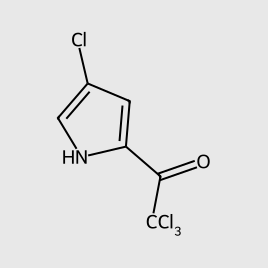 O=C(c1cc(Cl)c[nH]1)C(Cl)(Cl)Cl